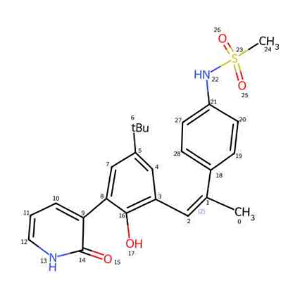 C/C(=C/c1cc(C(C)(C)C)cc(-c2ccc[nH]c2=O)c1O)c1ccc(NS(C)(=O)=O)cc1